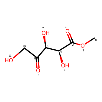 COC(=O)[C@@H](O)[C@H](O)C(=O)CO